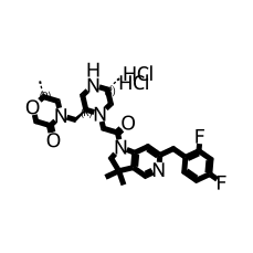 C[C@@H]1CN(CC(=O)N2CC(C)(C)c3cnc(Cc4ccc(F)cc4F)cc32)[C@@H](CN2C[C@@H](C)OCC2=O)CN1.Cl.Cl